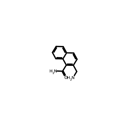 NCc1ccc2ccccc2c1C(N)=O